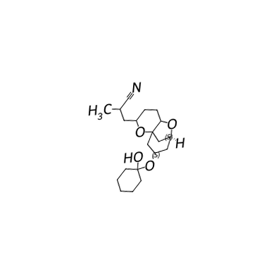 CC(C#N)CC1CCC2O[C@H]3C[C@H](OC4(O)CCCCC4)CC2(C3)O1